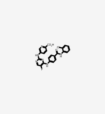 O=C(Nc1ccccc1Cl)c1ccc(Nc2nc(Nc3ccc(C(=O)O)nc3)ncc2F)cc1